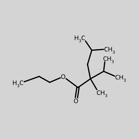 CCCOC(=O)C(C)(CC(C)C)C(C)C